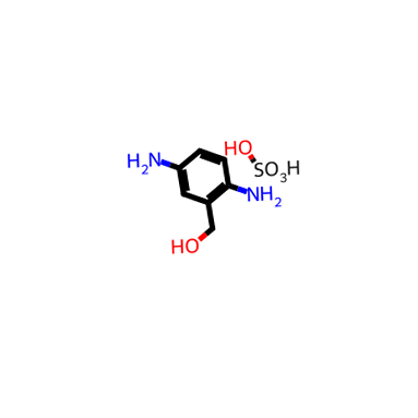 Nc1ccc(N)c(CO)c1.O=S(=O)(O)O